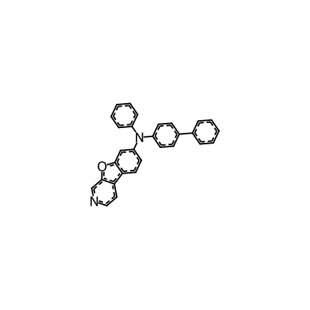 c1ccc(-c2ccc(N(c3ccccc3)c3ccc4c(c3)oc3cnccc34)cc2)cc1